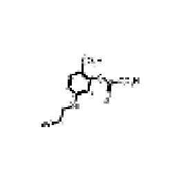 CC(C)CCNc1ccc(C(=O)O)c(NC(=O)C(=O)O)c1